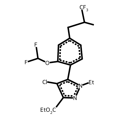 CCOC(=O)c1nn(CC)c(-c2ccc(CC(C)C(F)(F)F)cc2OC(F)F)c1Cl